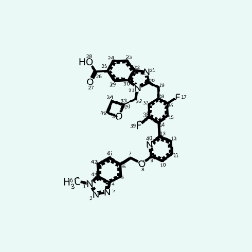 Cn1nnc2cc(COc3cccc(-c4cc(F)c(Cc5nc6ccc(C(=O)O)cc6n5C[C@@H]5CCO5)cc4F)n3)ccc21